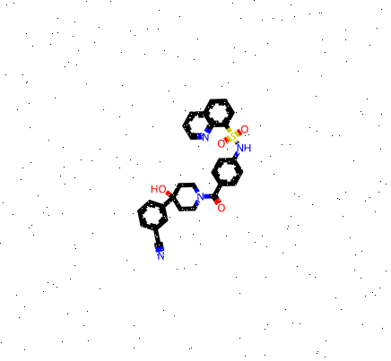 N#Cc1cccc(C2(O)CCN(C(=O)c3ccc(NS(=O)(=O)c4cccc5cccnc45)cc3)CC2)c1